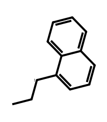 CC[C]c1cccc2ccccc12